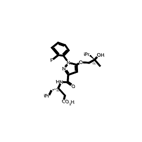 CC(C)C[C@@H](CC(=O)O)NC(=O)c1cc(OC[C@@](C)(O)C(C)C)n(-c2ccccc2F)n1